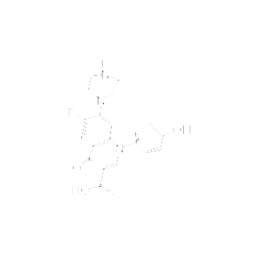 O=C(O)c1cn(-c2ccc(O)cc2)c2cc(N3CCNCC3)c(F)cc2c1=O